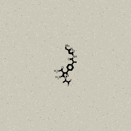 CC(C(=O)Nc1cc(CC(C)(C)C)no1)c1ccc(-c2nn(C(C)C(F)F)c(N)c2C(N)=O)cc1